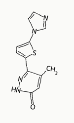 Cc1cc(=O)[nH]nc1-c1ccc(-n2ccnc2)s1